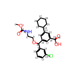 COC(=O)NCCOC(c1cccc(Cl)c1)c1cc(C(=O)O)cc(C2CCCCC2)c1